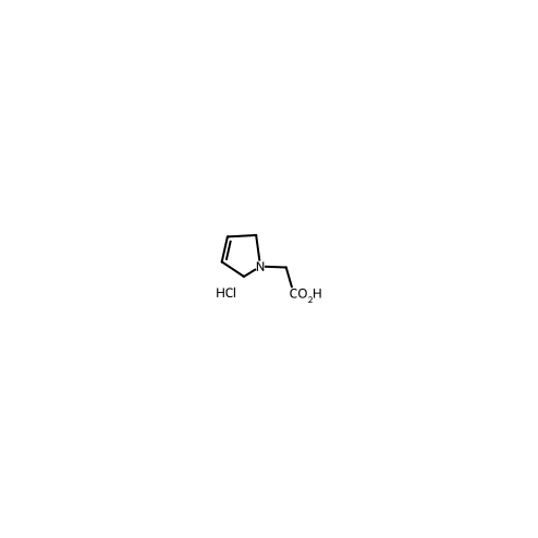 Cl.O=C(O)CN1CC=CC1